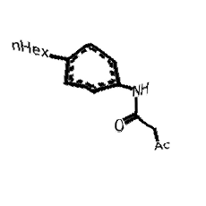 CCCCCCc1ccc(NC(=O)CC(C)=O)cc1